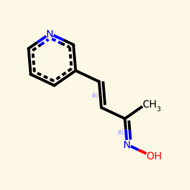 CC(/C=C/c1cccnc1)=N\O